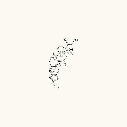 Cn1cc2c(n1)C=C1CC[C@@H]3[C@H](C(=O)C[C@@]4(C)[C@H]3CC[C@]4(O)C(=O)CO)[C@@]1(C)C2